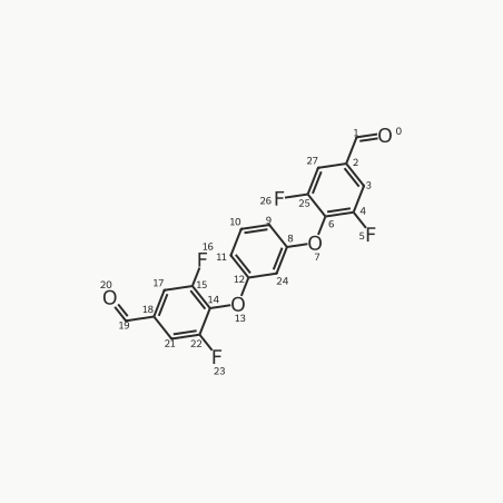 O=Cc1cc(F)c(Oc2cccc(Oc3c(F)cc(C=O)cc3F)c2)c(F)c1